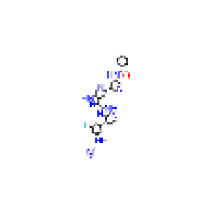 CN(C)CCNc1cc(F)cc(-c2ccnc3[nH]c(-c4n[nH]c5cnc(-c6cncc(NC(=O)c7ccccc7)c6)cc45)nc23)c1